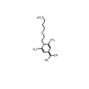 CC1=CC(=C(C#N)C#N)C=C(C)N1CCOCCCS(=O)(=O)O